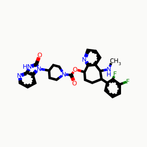 CNC1c2cccnc2C(OC(=O)N2CCC(n3c(=O)[nH]c4ncccc43)CC2)CCC1c1cccc(F)c1F